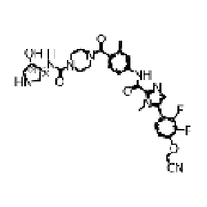 Cc1cc(NC(=O)c2ncc(-c3ccc(OCC#N)c(F)c3F)n2C)ccc1C(=O)N1CCN(C(=O)N[C@@H]2CNC[C@H]2O)CC1